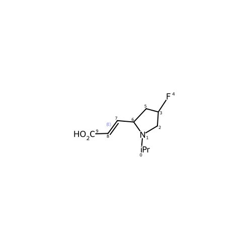 CC(C)N1CC(F)CC1/C=C/C(=O)O